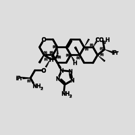 CC(C)[C@H](N)CO[C@H]1[C@H](n2nnc(N)n2)C[C@@]23COC[C@]1(C)[C@@H]2CC[C@H]1C3=CC[C@@]2(C)[C@H](C(=O)O)[C@@](C)([C@H](C)C(C)C)CC[C@]12C